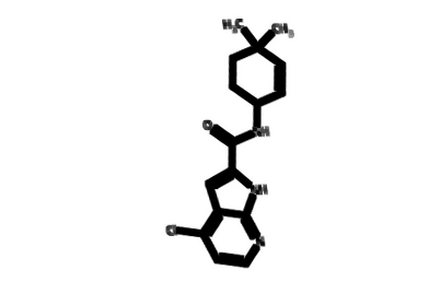 CC1(C)C=CC(NC(=O)c2cc3c(Cl)ccnc3[nH]2)CC1